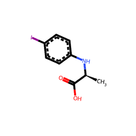 C[C@H](Nc1ccc(I)cc1)C(=O)O